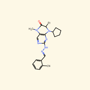 CCC1C(=O)N(C)c2cnc(NN=Cc3ccccc3C#N)nc2N1C1CCCC1